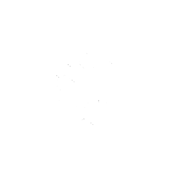 CCc1cc2c(cc1Nc1ncc(C(F)(F)F)c(-c3cc4c(s3)C(=O)NCCS4(=O)=O)n1)CCN(C)C2